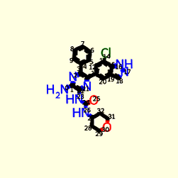 Nc1nc(-c2ccccc2)c(-c2cc(Cl)c3[nH]ncc3c2)nc1NC(=O)NC1CCOCC1